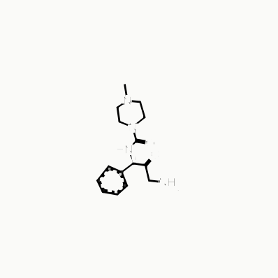 CN1CCN(C(=O)N[C@@H](C(=O)CN)c2ccccc2)CC1